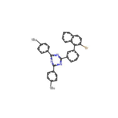 CC(C)(C)c1ccc(-c2nc(-c3ccc(C(C)(C)C)cc3)nc(-c3cccc(-c4c(Br)ccc5ccccc45)c3)n2)cc1